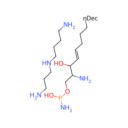 CCCCCCCCCCCCCC=CC(O)C(N)COP(N)O.NCCCCNCCCN